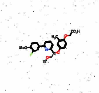 CCOC[C@@H](Oc1ccc(OCC(=O)O)c(C)c1)c1cccc(-c2ccc(OC)c(F)c2)n1